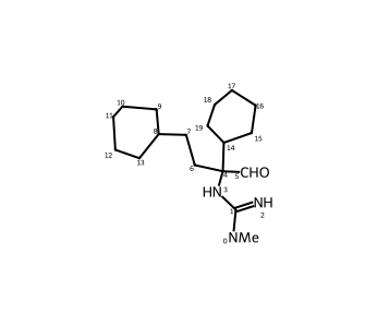 CNC(=N)NC(C=O)(CCC1CCCCC1)C1CCCCC1